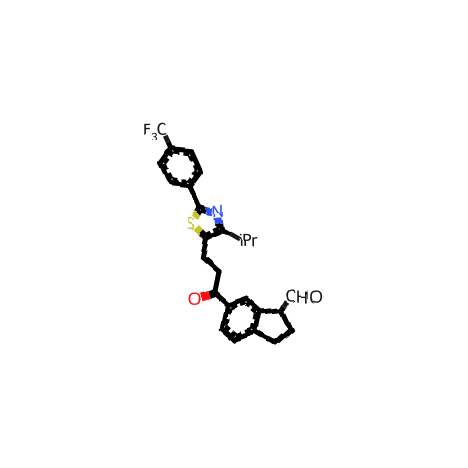 CC(C)c1nc(-c2ccc(C(F)(F)F)cc2)sc1CCC(=O)c1ccc2c(c1)C(C=O)CC2